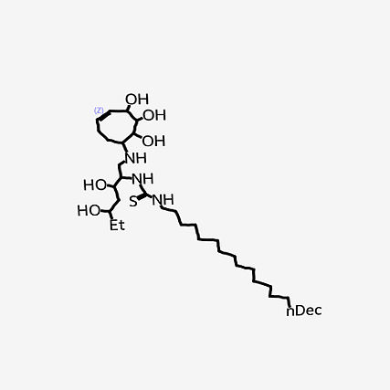 CCCCCCCCCCCCCCCCCCCCCCCCNC(=S)NC(CNC1CC/C=C\C(O)C(O)C1O)C(O)CC(O)CC